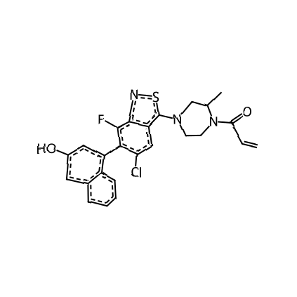 C=CC(=O)N1CCN(c2snc3c(F)c(-c4cc(O)cc5ccccc45)c(Cl)cc23)CC1C